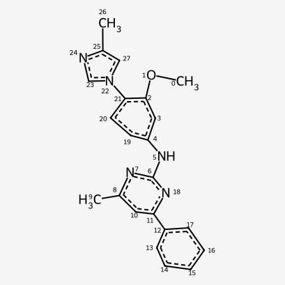 COc1cc(Nc2nc(C)cc(-c3ccccc3)n2)ccc1-n1cnc(C)c1